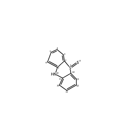 S=S1c2ccccc2Nc2ccccc21